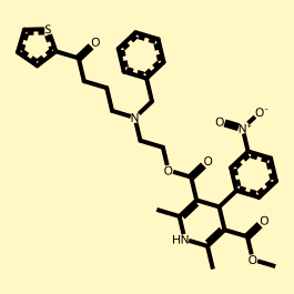 COC(=O)C1=C(C)NC(C)=C(C(=O)OCCN(CCCC(=O)c2cccs2)Cc2ccccc2)C1c1cccc([N+](=O)[O-])c1